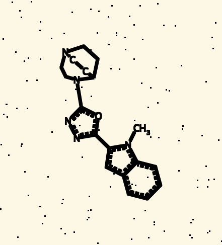 Cn1c(-c2nnc(N3CCN4CCC3CC4)o2)cc2ccccc21